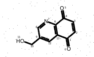 O=C1C=CC(=O)c2ncc(CO)cc21